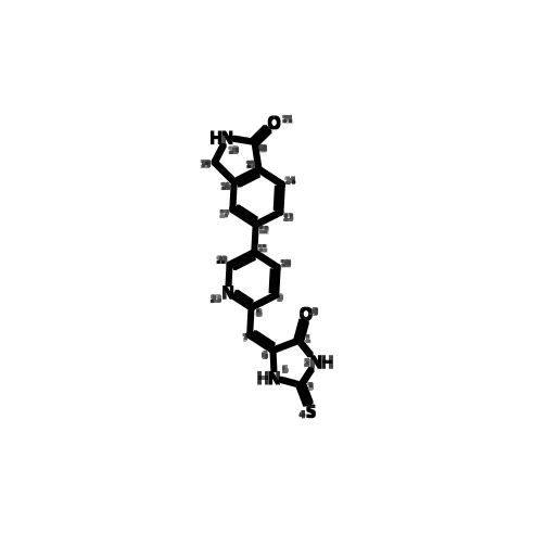 O=C1NC(=S)N/C1=C/c1ccc(-c2ccc3c(c2)CNC3=O)cn1